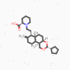 C=C1CCC2[C@]3(C)CO[C@@H](C4CCCC4)O[C@@H]3CC[C@@]2(C)[C@@H]1CCN1CCCC[C@@H]1C(=O)O